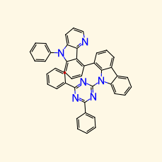 c1ccc(-c2nc(-c3ccccc3)nc(-n3c4ccccc4c4cccc(-c5cccc6c5c5ncccc5n6-c5ccccc5)c43)n2)cc1